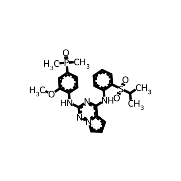 COc1cc(P(C)(C)=O)ccc1Nc1nc(Nc2ccccc2S(=O)(=O)C(C)C)c2cccn2n1